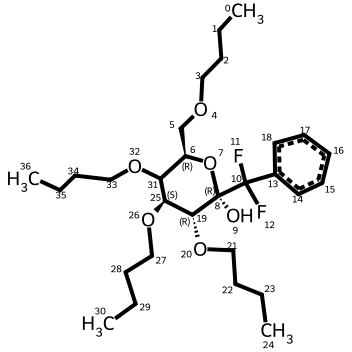 CCCCOC[C@H]1O[C@@](O)(C(F)(F)c2ccccc2)[C@H](OCCCC)[C@@H](OCCCC)C1OCCCC